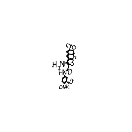 COC(=O)c1cccc(NC(=O)c2sc3nc4cc5c(cc4cc3c2N)OCO5)c1